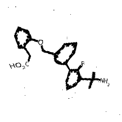 CC(C)(N)c1cccc(-c2cccc(COc3ccccc3CC(=O)O)c2)c1F